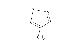 [CH2]c1cnsc1